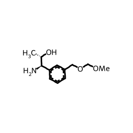 COCOCc1cccc([C@@H](N)[C@H](C)O)c1